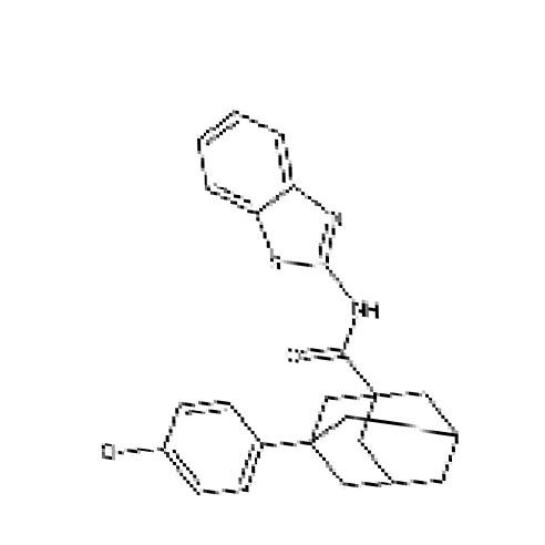 O=C(Nc1nc2ccccc2s1)C12CC3CC(C1)CC(c1ccc(Cl)cc1)(C3)C2